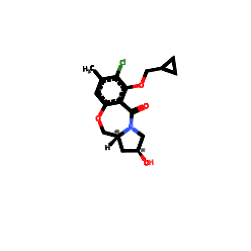 Cc1cc2c(c(OCC3CC3)c1Cl)C(=O)N1C[C@@H](O)C[C@@H]1CO2